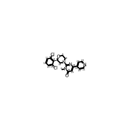 Cn1c(N2CCO[C@H](c3c(Cl)cccc3Cl)C2)nc(-c2ccncc2)cc1=O